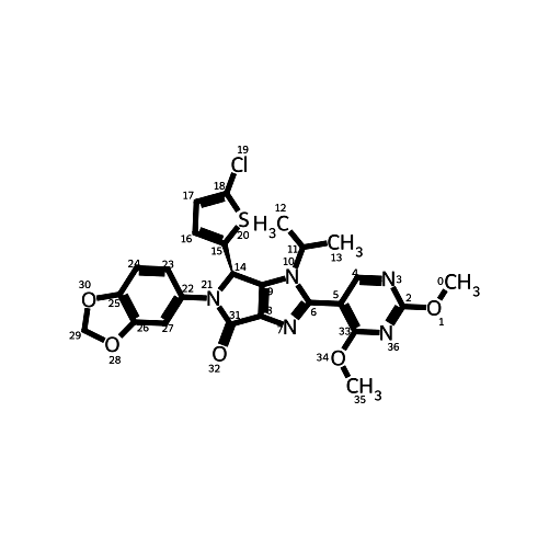 COc1ncc(-c2nc3c(n2C(C)C)[C@H](c2ccc(Cl)s2)N(c2ccc4c(c2)OCO4)C3=O)c(OC)n1